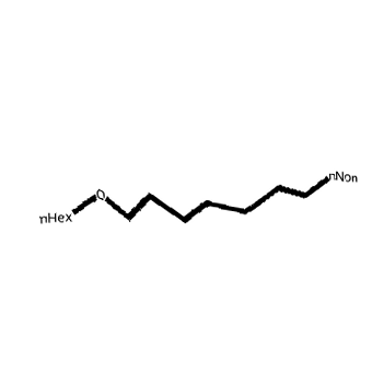 CCCCCCCCCCCCCCC[CH]OCCCCCC